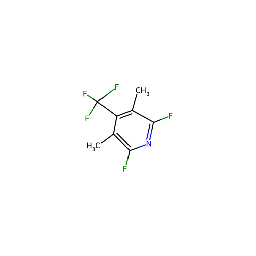 Cc1c(F)nc(F)c(C)c1C(F)(F)F